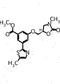 COC(=O)c1cc(OC[C@H]2CN(C)C(=O)O2)cc(-c2ncc(C)s2)c1